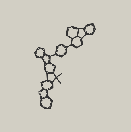 CC1(C)c2cc3c(cc2-c2cc4c5ccccc5n(-c5ccc(C6=CC=C7c8ccccc8C8=CC=CC6C87)cc5)c4cc21)oc1ccccc13